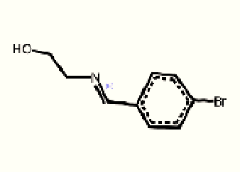 OCC/N=C/c1ccc(Br)cc1